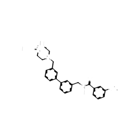 C[N+]1(C)CCN(Cc2cccc(-c3cccc(CNC(=O)c4cccc(C#N)c4)c3)c2)CC1